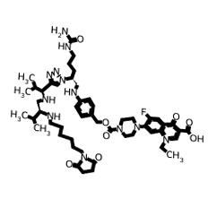 CCn1cc(C(=O)O)c(=O)c2cc(F)c(N3CCN(C(=O)OCc4ccc(NC[C@@H](CCCNC(N)=O)n5cc([C@@H](NC[C@@H](NCCCCCCN6C(=O)CCC6=O)C(C)C)C(C)C)nn5)cc4)CC3)cc21